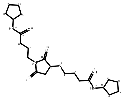 N=C(CCCSC1CC(=O)N(CCCC(=O)NC2CCCC2)C1=O)NC1CCCC1